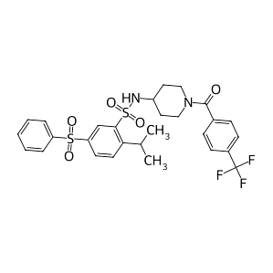 CC(C)c1ccc(S(=O)(=O)c2ccccc2)cc1S(=O)(=O)NC1CCN(C(=O)c2ccc(C(F)(F)F)cc2)CC1